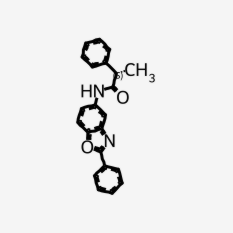 C[C@H](C(=O)Nc1ccc2oc(-c3ccccc3)nc2c1)c1ccccc1